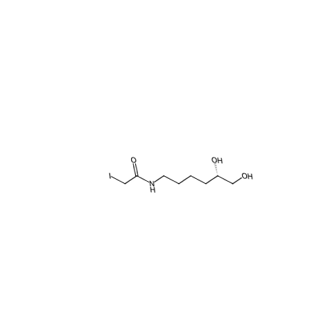 O=C(CI)NCCCC[C@H](O)CO